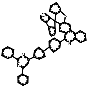 c1ccc(-c2cc(-c3ccc(-c4ccc(-c5nc6ccccc6c6cc7c(cc56)C5(c6ccccc6S7)c6ccccc6-c6ccccc65)cc4)cc3)nc(-c3ccccc3)n2)cc1